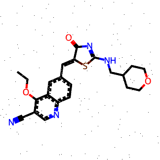 CCOc1c(C#N)cnc2ccc(/C=C3\SC(NCC4CCOCC4)=NC3=O)cc12